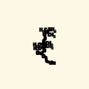 CC(C)(C)CCOC(=O)OC(C)(C)C(C)(C)CCOC(C)(C)N